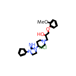 COc1ccccc1OCC(O)CN1CCC(N2CCN(c3ccccc3)C2=N)CC1.Cl